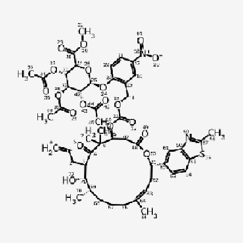 C=CC[C@H]1C(=O)C(C)(C)[C@@H](OC(=O)OCc2cc([N+](=O)[O-])ccc2O[C@@H]2O[C@H](C(=O)OC)[C@@H](OC(C)=O)[C@H](OC(C)=O)[C@H]2OC(C)=O)CC(=O)O[C@H](c2ccc3sc(C)nc3c2)C/C=C(/C)CCC[C@H](C)[C@@H]1O